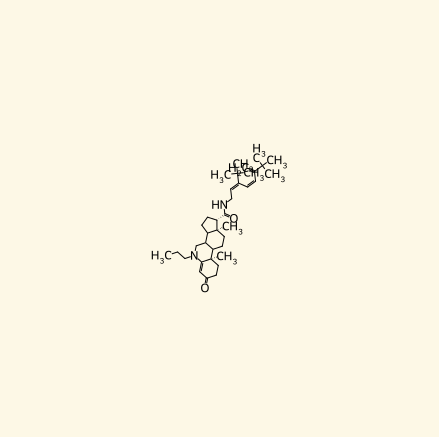 C=C(/C=C\C(=C/CNC(=O)[C@H]1CCC2C3CN(CCC)C4=CC(=O)CC[C@]4(C)C3CC[C@@]21C)C(C)(C)C)C(C)(C)C